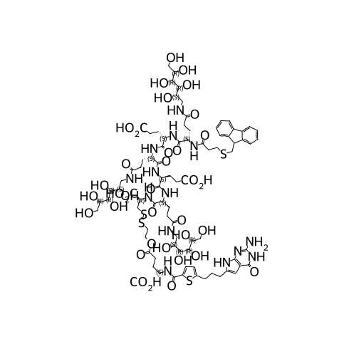 Nc1nc2[nH]c(CCCc3ccc(C(=O)N[C@@H](CCC(=O)OCCSSC[C@H](NC(=O)[C@H](CCC(=O)NC[C@H](O)[C@@H](O)[C@H](O)[C@H](O)CO)NC(=O)[C@H](CCC(=O)O)NC(=O)[C@H](CCC(=O)NC[C@H](O)[C@@H](O)[C@H](O)[C@H](O)CO)NC(=O)[C@H](CCC(=O)O)NC(=O)[C@H](CCC(=O)NC[C@H](O)[C@@H](O)[C@H](O)[C@H](O)CO)NC(=O)CCSCC4c5ccccc5-c5ccccc54)C(=O)O)C(=O)O)s3)cc2c(=O)[nH]1